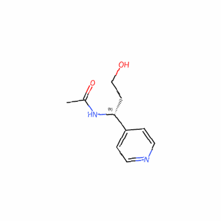 CC(=O)N[C@H](CCO)c1ccncc1